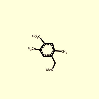 CNCc1cc(C)c(C(=O)O)cc1C